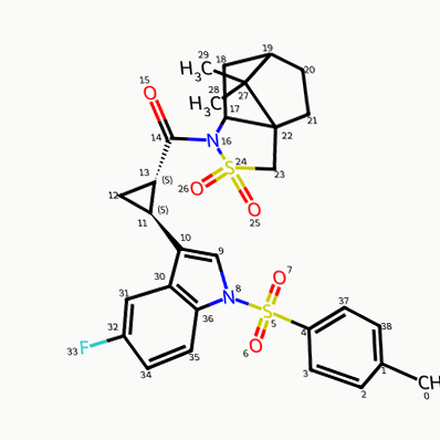 Cc1ccc(S(=O)(=O)n2cc([C@H]3C[C@@H]3C(=O)N3C4CC5CCC4(CS3(=O)=O)C5(C)C)c3cc(F)ccc32)cc1